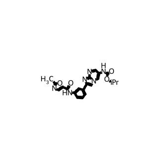 Cc1ncc(C(=O)Nc2cccc(-c3cn4cc(NC(=O)OC(C)C)cnc4n3)c2)o1